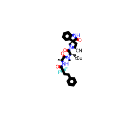 C[C@H](NC(=O)C(F)(F)CCc1ccccc1)C(=O)N(C)[C@@H](CC(C)(C)C)C(=O)N1C[C@]2(C[C@H]1C#N)C(=O)Nc1ccccc12